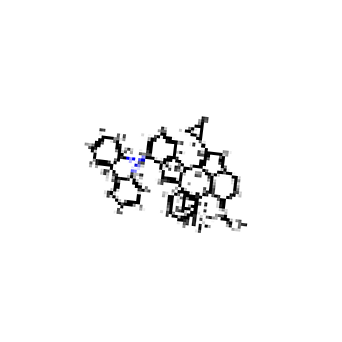 C[Si](C)=c1ccc2c(c1-c1ccccc1)C(C1C(C3CC3)=Cc3c1cccc3-n1c3ccccc3c3ccccc31)=C(C1CC1)[C]=2